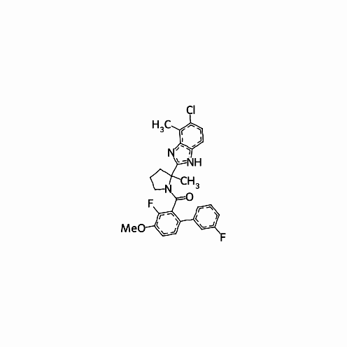 COc1ccc(-c2cccc(F)c2)c(C(=O)N2CCCC2(C)c2nc3c(C)c(Cl)ccc3[nH]2)c1F